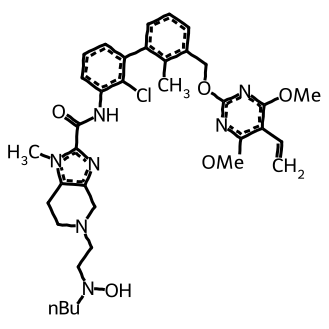 C=Cc1c(OC)nc(OCc2cccc(-c3cccc(NC(=O)c4nc5c(n4C)CCN(CCN(O)CCCC)C5)c3Cl)c2C)nc1OC